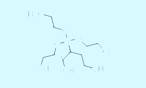 CCCO[Si](OCCC)(OCCC)C(CC)CCC